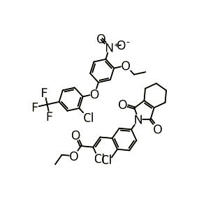 CCOC(=O)/C(Cl)=C/c1cc(N2C(=O)C3=C(CCCC3)C2=O)ccc1Cl.CCOc1cc(Oc2ccc(C(F)(F)F)cc2Cl)ccc1[N+](=O)[O-]